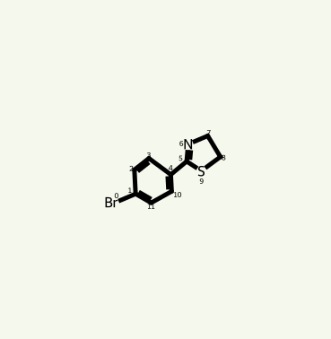 Brc1ccc(C2=N[CH]CS2)cc1